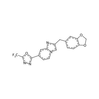 FC(F)(F)c1nnc(-c2ccn3cc(Cc4ccc5c(c4)OCO5)nc3c2)o1